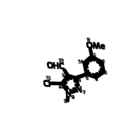 COc1cccc(-c2nn(C)c(Cl)c2C=O)c1